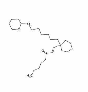 CCCCCC(=O)C=CC1(CCCCCCOC2CCCCO2)CCCCC1